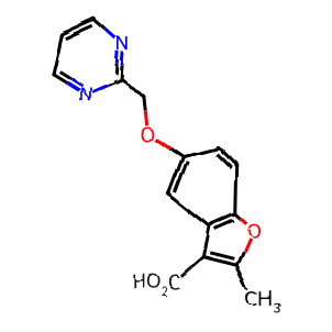 Cc1oc2ccc(OCc3ncccn3)cc2c1C(=O)O